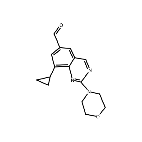 O=Cc1cc(C2CC2)c2nc(N3CCOCC3)ncc2c1